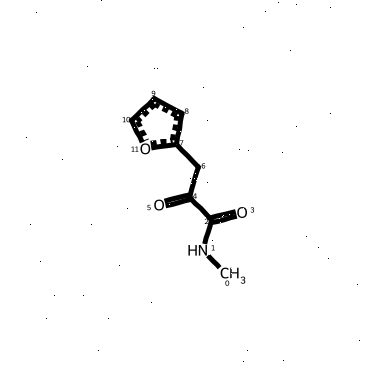 CNC(=O)C(=O)Cc1ccco1